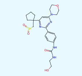 O=C(NCCO)Nc1ccc(-c2nc(N3CCOCC3)cc(C3(C[SH](=O)=O)CCCC3)n2)cc1